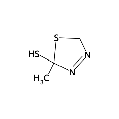 CC1(S)N=NCS1